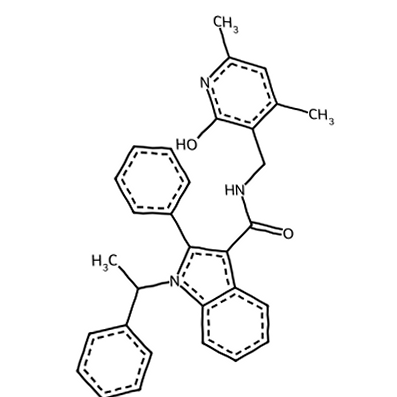 Cc1cc(C)c(CNC(=O)c2c(-c3ccccc3)n(C(C)c3ccccc3)c3ccccc23)c(O)n1